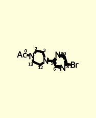 CC(=O)N1CCN(c2cnc(Br)cn2)CC1